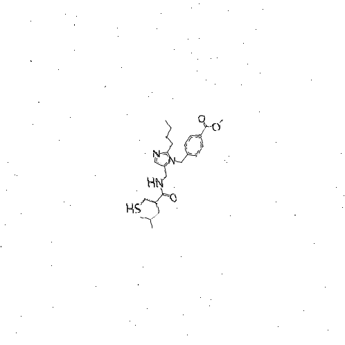 CCCCc1ncc(CNC(=O)C(CS)CC(C)C)n1Cc1ccc(C(=O)OC)cc1